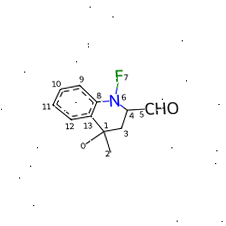 CC1(C)CC(C=O)N(F)c2ccccc21